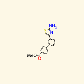 COC(=O)c1ccc(-c2cccc(-c3csc(N)n3)c2)cc1